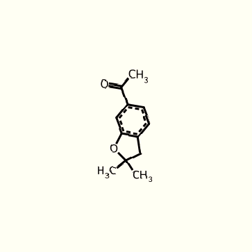 CC(=O)c1ccc2c(c1)OC(C)(C)C2